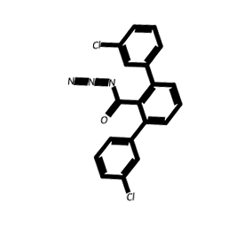 [N-]=[N+]=NC(=O)c1c(-c2cccc(Cl)c2)cccc1-c1cccc(Cl)c1